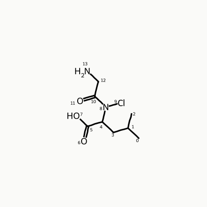 CC(C)CC(C(=O)O)N(Cl)C(=O)CN